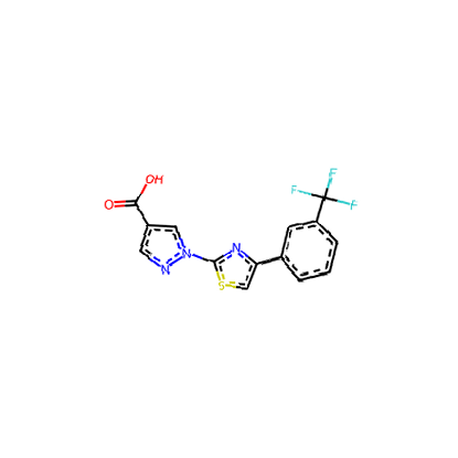 O=C(O)c1cnn(-c2nc(-c3cccc(C(F)(F)F)c3)cs2)c1